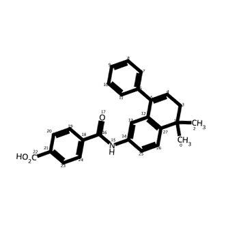 CC1(C)CC=C(c2ccccc2)c2cc(NC(=O)c3ccc(C(=O)O)cc3)ccc21